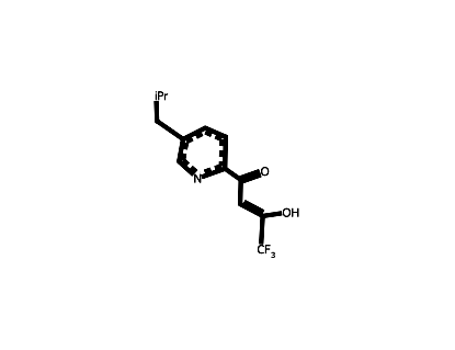 CC(C)Cc1ccc(C(=O)/C=C(\O)C(F)(F)F)nc1